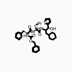 CC(C)S[C@H](NC(=O)[C@H](Cc1ccccc1)NC(=O)OCc1ccccc1)C(=O)NC(CC1CCCCC1)[C@@H](O)c1cccs1